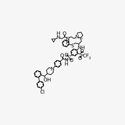 O=C(CNC1CC1)NCCN1CCC[C@H]1CC(CSc1ccccc1)Nc1ccc(S(=O)(=O)NC(=O)c2ccc(N3CCC(C(O)c4ccccc4-c4ccc(Cl)cc4)CC3)cc2)cc1S(=O)(=O)C(F)(F)F